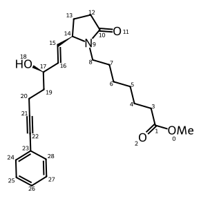 COC(=O)CCCCCCN1C(=O)CC[C@@H]1C=C[C@H](O)CCC#Cc1ccccc1